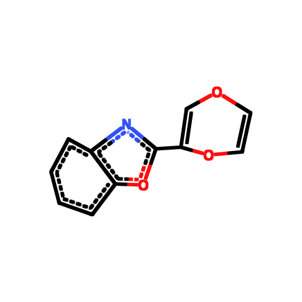 C1=COC(c2nc3ccccc3o2)=CO1